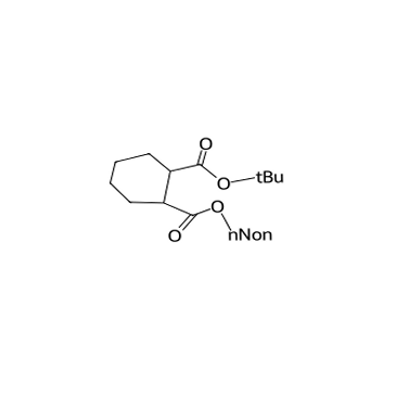 CCCCCCCCCOC(=O)C1CCCCC1C(=O)OC(C)(C)C